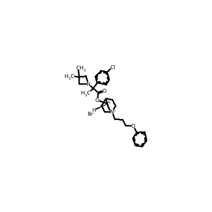 CC1(C)CN(C(C)(C(=O)O[C@H]2C[N+]3(CCCOc4ccccc4)CCC2CC3)c2ccc(Cl)cc2)C1.[Br-]